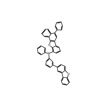 c1ccc(-c2cc3c4cccc(N(c5ccccc5)c5cccc(-c6ccc7oc8ccccc8c7c6)c5)c4oc3c3ccccc23)cc1